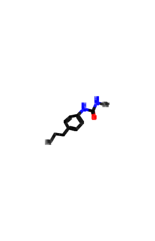 CC(C)CCc1ccc(NC(=O)NC(C)C)cc1